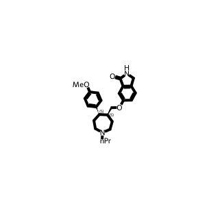 CCCN1CC[C@H](COc2ccc3c(c2)C(=O)NC3)[C@@H](c2ccc(OC)cc2)CC1